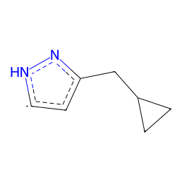 [c]1cc(CC2CC2)n[nH]1